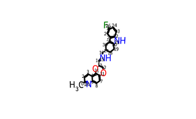 Cc1ccc2c3c(ccc2n1)OC[C@H](CNC[C@@H]1CCc2[nH]c4ccc(F)cc4c2C1)O3